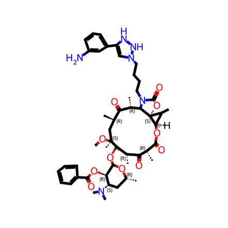 CO[C@@]1(C)C[C@@H](C)C(=O)[C@H](C)C2N(CCCCN3C=C(c4cccc(N)c4)NN3)C(=O)O[C@@]23C(C)[C@H]3OC(=O)[C@H](C)C(=O)[C@H](C)[C@H]1OC1O[C@H](C)C[C@H](N(C)C)[C@H]1OC(=O)c1ccccc1